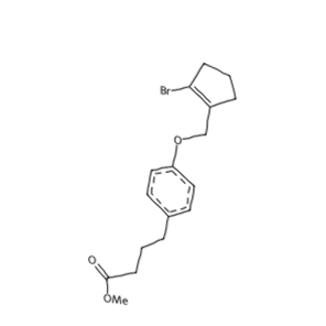 COC(=O)CCCc1ccc(OCC2=C(Br)CCC2)cc1